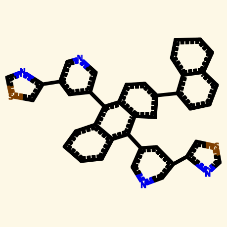 c1ccc2c(-c3ccc4c(-c5cncc(-c6cscn6)c5)c5ccccc5c(-c5cncc(-c6cscn6)c5)c4c3)cccc2c1